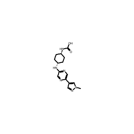 Cn1cc(-c2cnc(N[C@H]3CC[C@H](NC(=O)O)CC3)cn2)cn1